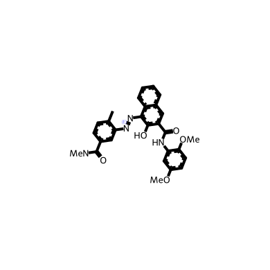 CNC(=O)c1ccc(C)c(/N=N/c2c(O)c(C(=O)Nc3cc(OC)ccc3OC)cc3ccccc23)c1